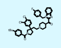 CC(C)(C)c1ccc(C(=O)N2CCC(CCN3CCC(C(=O)c4nc5ccccc5n4Cc4ccc(F)cc4)CC3)(c3ccc(Cl)c(Cl)c3)C2)cc1